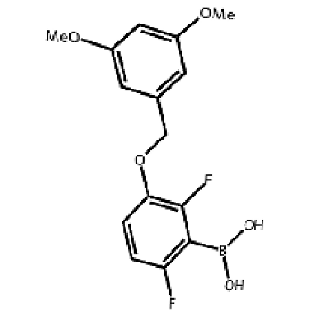 COc1cc(COc2ccc(F)c(B(O)O)c2F)cc(OC)c1